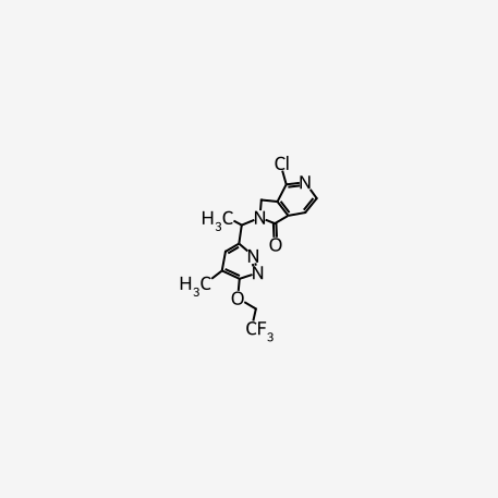 Cc1cc(C(C)N2Cc3c(ccnc3Cl)C2=O)nnc1OCC(F)(F)F